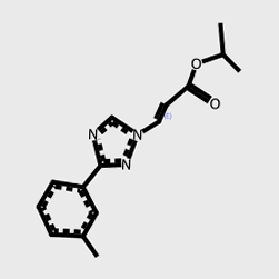 Cc1cccc(-c2ncn(/C=C/C(=O)OC(C)C)n2)c1